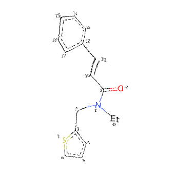 CCN(Cc1cccs1)C(=O)C=Cc1ccccc1